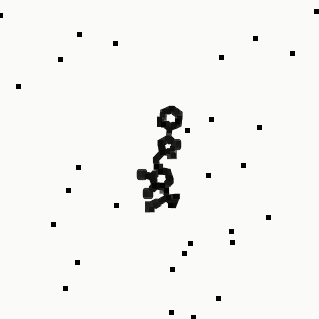 N#CC1(n2ccn(Cc3cc(-c4ccccn4)on3)c(=O)c2=O)CC1